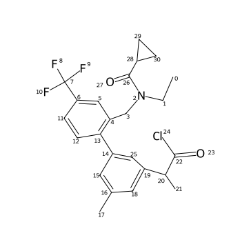 CCN(Cc1cc(C(F)(F)F)ccc1-c1cc(C)cc(C(C)C(=O)Cl)c1)C(=O)C1CC1